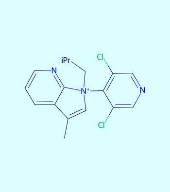 CC1=C[N+](CC(C)C)(c2c(Cl)cncc2Cl)c2ncccc21